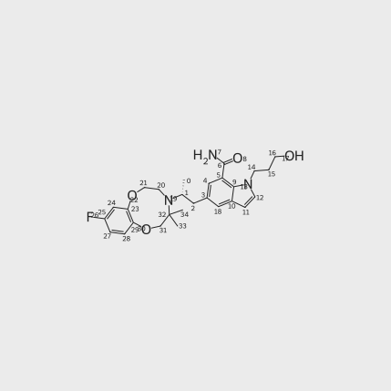 C[C@H](Cc1cc(C(N)=O)c2c(ccn2CCCO)c1)N1CCOc2cc(F)ccc2OCC1(C)C